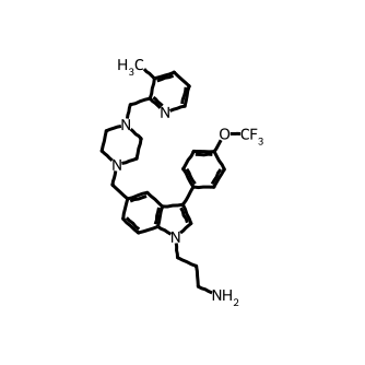 Cc1cccnc1CN1CCN(Cc2ccc3c(c2)c(-c2ccc(OC(F)(F)F)cc2)cn3CCCN)CC1